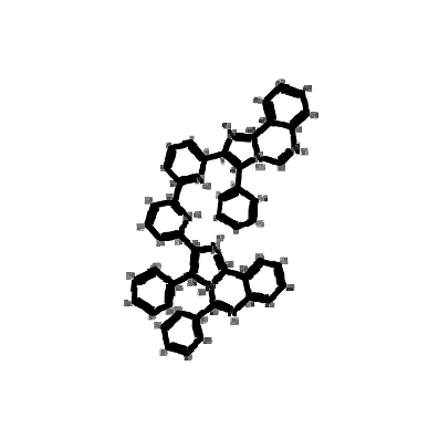 c1ccc(-c2c(-c3cccc(-c4cccc(-c5nc6c7ccccc7nc(-c7ccccc7)n6c5-c5ccccc5)n4)n3)nc3c4ccccc4ncn23)cc1